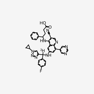 [2H]C(Nc1cc(-c2cncnc2)c2ncc(C#N)c(NC(CCC(=O)O)c3ccccc3)c2c1)(c1ccc(F)cc1)c1cn(C2CC2)nn1